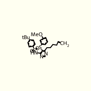 C=CCCCCc1ncnc(NS(=O)(=O)c2ccc(C(C)(C)C)cc2)c1Sc1cccc(OC)c1